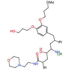 COCCCOc1cc(CC(CC(N)C(O)CC(C(=O)NCCN2CCOCC2)C(C)C)C(C)C)ccc1OCCCO.Cl